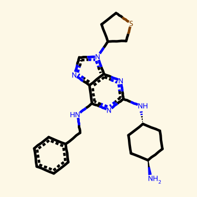 N[C@H]1CC[C@H](Nc2nc(NCc3ccccc3)c3ncn(C4CCSC4)c3n2)CC1